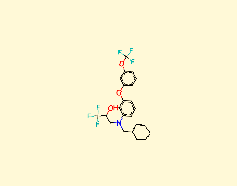 OC(CN(CC1CCCCC1)c1cccc(Oc2cccc(OC(F)(F)F)c2)c1)C(F)(F)F